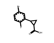 O=C(O)C1CC1c1cc(Br)ccc1F